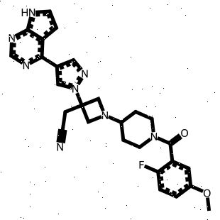 COc1ccc(F)c(C(=O)N2CCC(N3CC(CC#N)(n4cc(-c5ncnc6[nH]ccc56)cn4)C3)CC2)c1